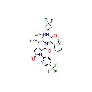 O=C(NC1CC(F)(F)C1)[C@H](c1ccccc1Cl)N(C(=O)[C@@H]1CCC(=O)N1c1ccc(C(F)(F)F)cn1)c1cccc(F)c1